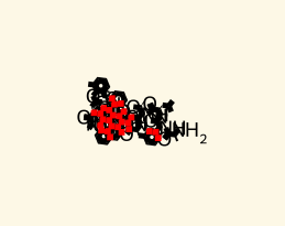 CCSSc1cccc(C)c1OC(=O)C[C@H](NC(=O)[C@H](Cc1ccccc1)NC(=O)[C@H](C(C)C)N(C)C(=O)[C@H](CC(C)C)N(C)C(=O)CNC(=O)[C@H](Cc1ccccc1)N(C)C(=O)[C@@H](NC(=O)[C@H](CC(C)C)N(C)C(=O)[C@@H](NC(=O)[C@H](C)N)C(C)C)[C@@H](C)O)C(=O)N(C)[C@@H](Cc1ccccc1)C(=O)N[C@@H](C)C(=O)N1CCCCC1